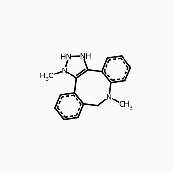 CN1NNC2=C1c1ccccc1CN(C)c1ccccc12